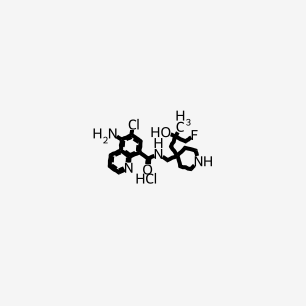 CC(O)(CF)CC1(CNC(=O)c2cc(Cl)c(N)c3cccnc23)CCNCC1.Cl